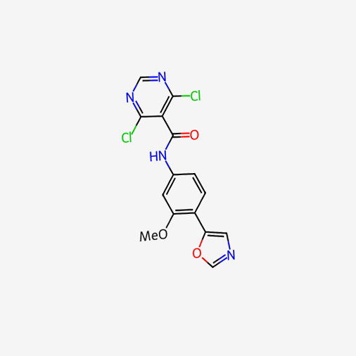 COc1cc(NC(=O)c2c(Cl)ncnc2Cl)ccc1-c1cnco1